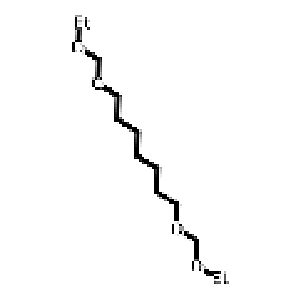 CCOCOCCCCCCCOCOCC